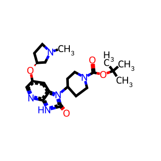 CN1CC[C@@H](Oc2cnc3[nH]c(=O)n(C4CCN(C(=O)OC(C)(C)C)CC4)c3c2)C1